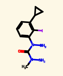 CN(N)C(=O)N(N)c1cccc(C2CC2)c1I